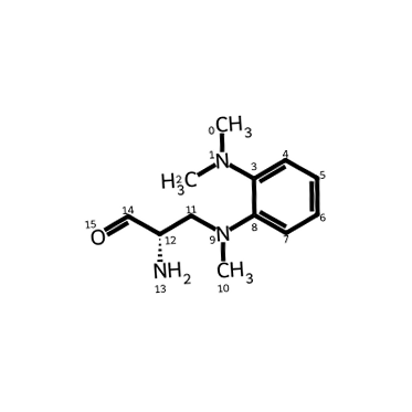 CN(C)c1ccccc1N(C)C[C@H](N)C=O